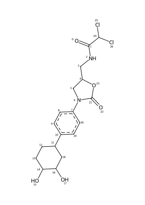 O=C(NCC1CN(c2ccc(C3CCC(O)C(O)C3)cc2)C(=O)O1)C(Cl)Cl